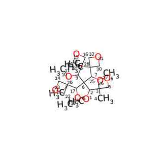 COC(C1(C)COC1)C(C(OC)C1(C)COC1)(C(OC)C1(C)COC1)C(OC)C1(C)COC1